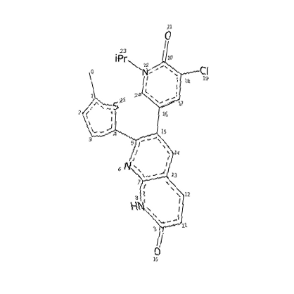 Cc1ccc(-c2nc3[nH]c(=O)ccc3cc2-c2cc(Cl)c(=O)n(C(C)C)c2)s1